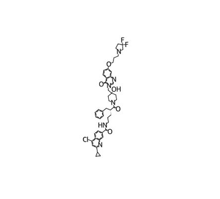 O=C(NCCC[C@H](Cc1ccccc1)C(=O)N1CCC(O)(Cn2cnc3cc(OCCCN4CCC(F)(F)C4)ccc3c2=O)CC1)c1ccc2c(Cl)cc(C3CC3)nc2c1